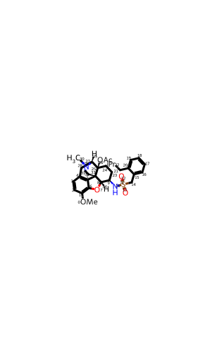 COc1ccc2c3c1O[C@H]1[C@H](NS(=O)(=O)Cc4ccccc4CC(C)C)CC[C@@]4(OC(C)=O)[C@@H](C2)N(C)CC[C@]314